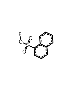 O=S(=O)(OF)c1cccc2ccccc12